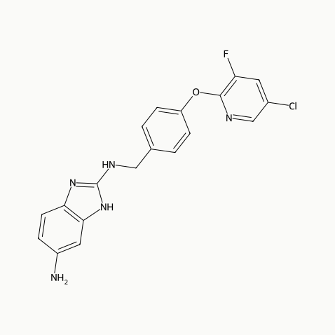 Nc1ccc2nc(NCc3ccc(Oc4ncc(Cl)cc4F)cc3)[nH]c2c1